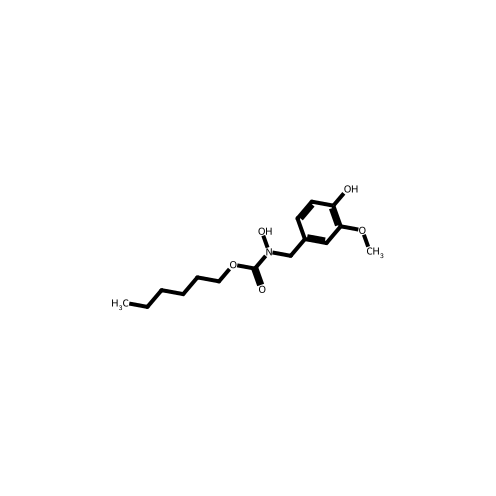 CCCCCCOC(=O)N(O)Cc1ccc(O)c(OC)c1